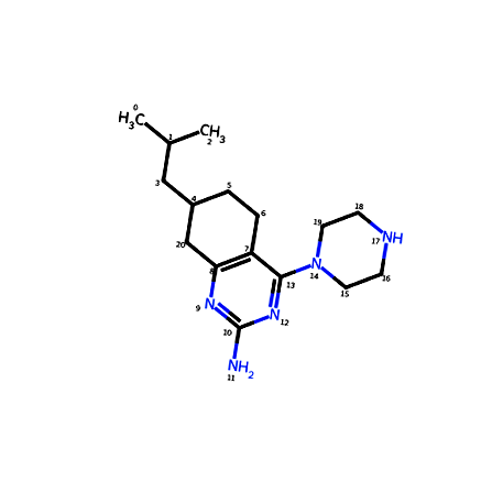 CC(C)CC1CCc2c(nc(N)nc2N2CCNCC2)C1